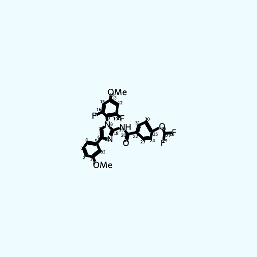 COc1cccc(-c2cn(-c3c(F)cc(OC)cc3F)c(NC(=O)c3ccc(OC(F)F)cc3)n2)c1